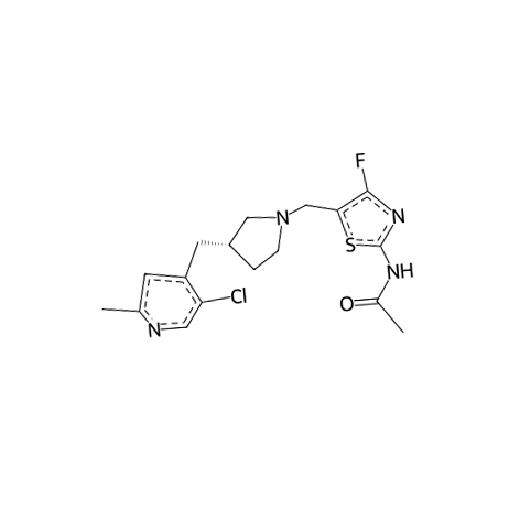 CC(=O)Nc1nc(F)c(CN2CC[C@H](Cc3cc(C)ncc3Cl)C2)s1